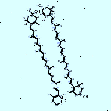 CC1=C(/C=C/C(C)=C/C=C/C(C)=C/C=C/C=C(C)/C=C/C=C(C)/C=C/C2=C(C)CC(O)(O)CC2(C)C)C(C)(C)CCC1.CC1=C[C@H](O)CC(C)(C)[C@H]1/C=C/C(C)=C/C=C/C(C)=C/C=C/C=C(C)/C=C/C=C(C)/C=C/C1=C(C)C[C@@H](O)CC1(C)C